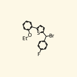 CCOc1ccccc1-c1ccc(C(Br)c2ccc(F)cc2)s1